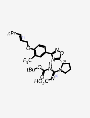 CCC/C=C/COc1ccc(-c2noc([C@@H]3CCCN3/C(=N/C(=O)O)NC(=O)OC(C)(C)C)n2)cc1C(F)(F)F